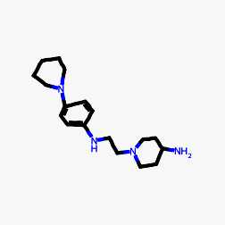 NC1CCN(CCNc2ccc(N3CCCCC3)cc2)CC1